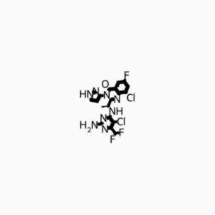 C[C@H](Nc1nc(N)nc(C(F)F)c1Cl)c1nc2c(Cl)cc(F)cc2c(=O)n1-c1cc[nH]n1